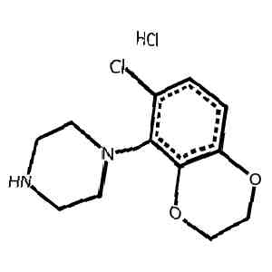 Cl.Clc1ccc2c(c1N1CCNCC1)OCCO2